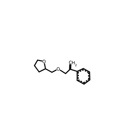 C=C(COCC1CCCO1)c1ccccc1